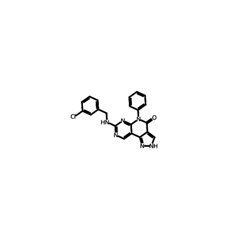 O=c1c2c[nH]nc2c2cnc(NCc3cccc(Cl)c3)nc2n1-c1ccccc1